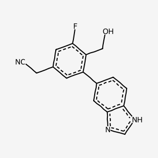 N#CCc1cc(F)c(CO)c(-c2ccc3[nH]cnc3c2)c1